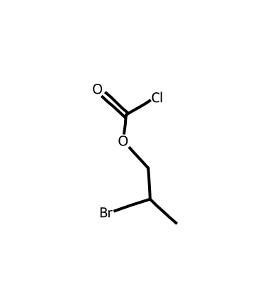 CC(Br)COC(=O)Cl